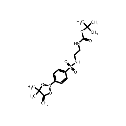 C=C1OB(c2ccc(S(=O)(=O)NCCNC(=O)OC(C)(C)C)cc2)OC1(C)C